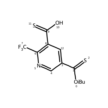 CC(C)COC(=S)c1cnc(C(F)(F)F)c(C(O)=S)c1